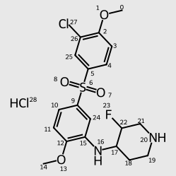 COc1ccc(S(=O)(=O)c2ccc(OC)c(NC3CCNCC3F)c2)cc1Cl.Cl